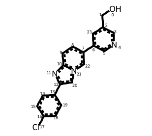 OCc1cncc(-c2ccc3nc(-c4ccc(Cl)cc4)cn3c2)c1